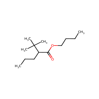 CCCCOC(=O)C(CCC)C(C)(C)C